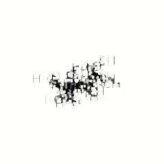 CCCC[C@H](NC(=O)[C@H](CC(C)C)NC(=O)[C@@H](NC(=O)[C@H](Cc1ccccc1C)NC(=O)[C@H](CCC(=O)O)NC(=O)[C@H](CC(=O)O)NC(=O)CS(C)(=O)=O)C(C)(C)C)C(=O)C(N)=O